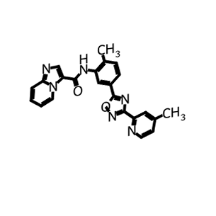 Cc1ccnc(-c2noc(-c3ccc(C)c(NC(=O)c4cnc5ccccn45)c3)n2)c1